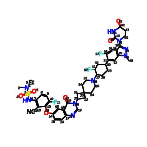 CCN(C)S(=O)(=O)Nc1ccc(F)c(Oc2ccc3ncn(C4CC5(CCN(C6CCC(c7cc8c(cc7F)c(N7CCC(=O)NC7=O)nn8C)C[C@H]6F)CC5)C4)c(=O)c3c2)c1C#N